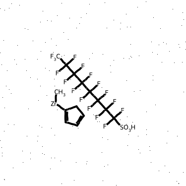 O=S(=O)(O)C(F)(F)C(F)(F)C(F)(F)C(F)(F)C(F)(F)C(F)(F)C(F)(F)C(F)(F)F.[CH3][Zr][C]1=CC=CC1